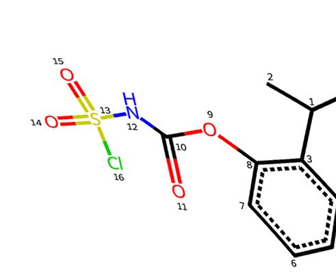 CC(C)c1ccccc1OC(=O)NS(=O)(=O)Cl